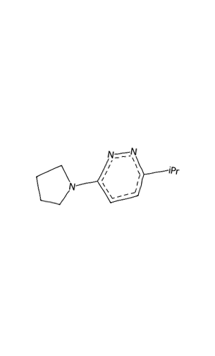 CC(C)c1ccc(N2CCCC2)nn1